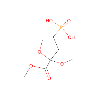 COC(=O)C(CCP(=O)(O)O)(OC)OC